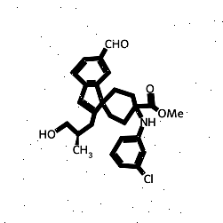 COC(=O)C1(Nc2cccc(Cl)c2)CCC2(CC1)C(C[C@@H](C)CO)=Cc1ccc(C=O)cc12